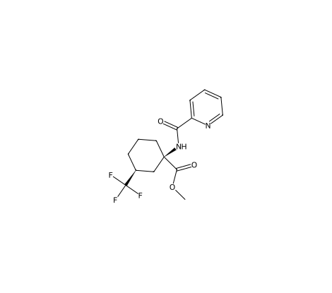 COC(=O)[C@@]1(NC(=O)c2ccccn2)CCC[C@H](C(F)(F)F)C1